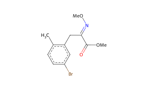 CO/N=C(\Cc1cc(Br)ccc1C)C(=O)OC